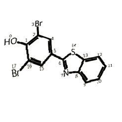 Oc1c(Br)cc(-c2nc3ccccc3s2)cc1Br